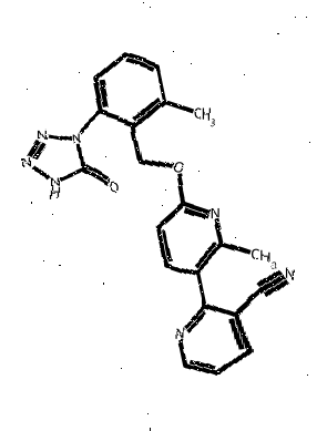 Cc1cccc(-n2nn[nH]c2=O)c1COc1ccc(-c2ncccc2C#N)c(C)n1